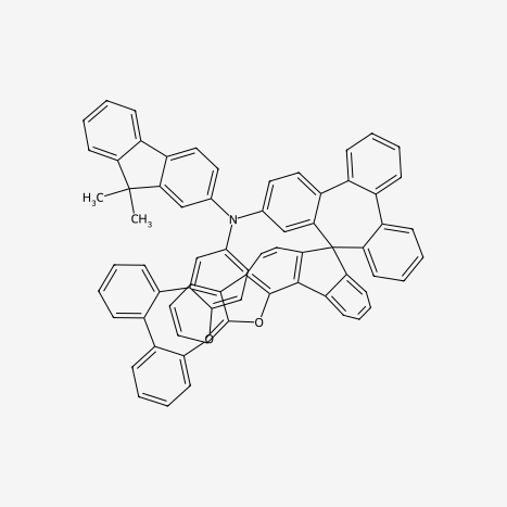 CC1(C)c2ccccc2-c2ccc(N(c3ccc4c(c3)-c3ccccc3-c3ccccc3O4)c3ccc4c(c3)C3(c5ccccc5-c5ccccc5-4)c4ccccc4-c4c3ccc3c4oc4ccccc43)cc21